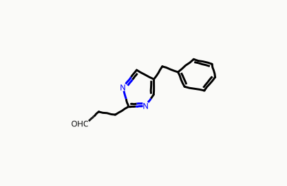 O=CCCc1ncc(Cc2ccccc2)cn1